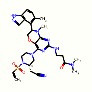 C=CS(=O)(=O)N1CCN(c2nc(NCCC(=O)N(C)C)nc3c2OCC(c2c(C)ccc4[nH]ncc24)N3C)C[C@@H]1CC#N